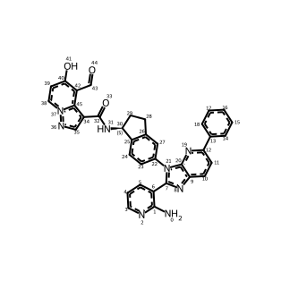 Nc1ncccc1-c1nc2ccc(-c3ccccc3)nc2n1-c1ccc2c(c1)CC[C@@H]2NC(=O)c1cnn2ccc(O)c(C=O)c12